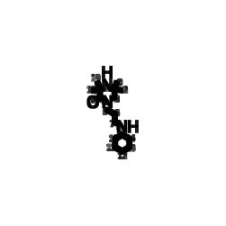 CC1(C)CN(CCCNC2CCCCC2)C(=O)C(C)(C)N1